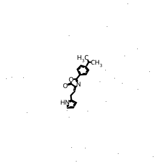 CC(C)c1ccc(C2=N/C(=C/Cc3ccc[nH]3)C(=O)O2)cc1